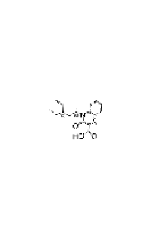 C=C[C@H](CC)C[C@H](C)n1c(=O)c(C(=O)O)nc2ccccc21